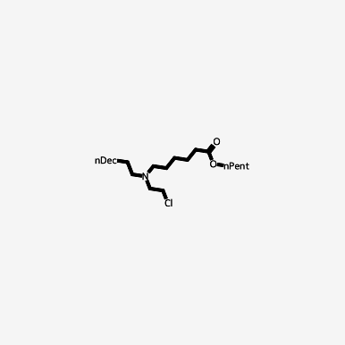 CCCCCCCCCCCCN(CCCl)CCCCCC(=O)OCCCCC